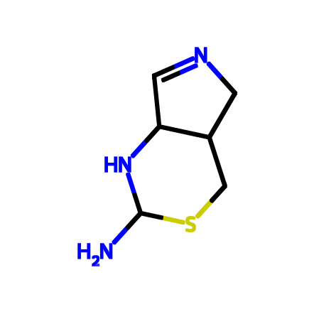 NC1NC2C=NCC2CS1